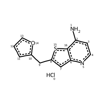 Cl.Nc1ccnc2cc(Cc3ccco3)sc12